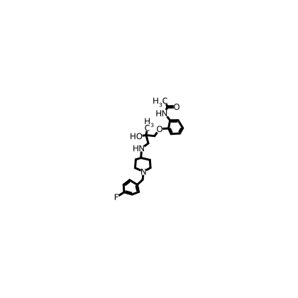 CC(=O)Nc1ccccc1OCC(C)(O)CNC1CCN(Cc2ccc(F)cc2)CC1